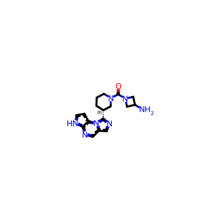 NC1CN(C(=O)N2CCC[C@@H](c3ncc4cnc5[nH]ccc5n34)C2)C1